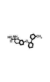 Cc1cccc(-c2ccccc2Oc2ccc3c(c2)CC(N)(C(=O)O)CC3)c1